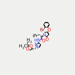 CC(C)C[C@@H](C(=O)Nc1ccn(C[C@@H]2COC(C)(C)O2)n1)N1CC(Oc2ccccc2Br)=CC1=O